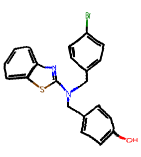 Oc1ccc(CN(Cc2ccc(Br)cc2)c2nc3ccccc3s2)cc1